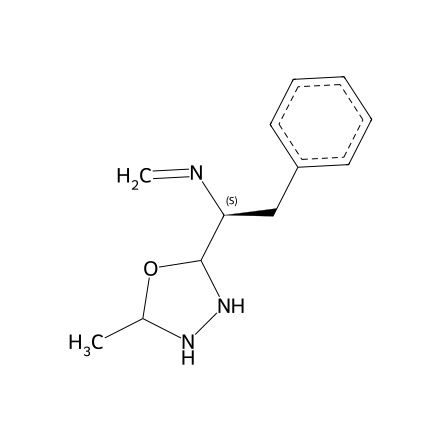 C=N[C@@H](Cc1ccccc1)C1NNC(C)O1